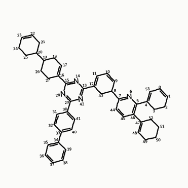 C1=CCCC(c2nc(C3C=CC=C(c4nc(C5=CCC(C6CC=CCC6)CC5)nc(-c5ccc(-c6ccccc6)cc5)n4)C3)ccc2C2=CCCCC2)=C1